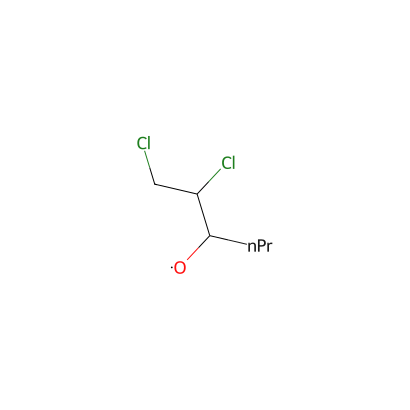 CCCC([O])C(Cl)CCl